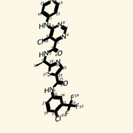 C[C@@H](NC(=O)c1ncnc(Nc2ccncc2)c1Cl)c1ncc(C(=O)Nc2ccc(Cl)c(C(F)(F)F)c2)s1